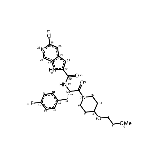 COCCOC1CCN(C(=O)[C@H](Cc2ccc(F)cc2)NC(=O)c2cc3cc(Cl)ncc3[nH]2)CC1